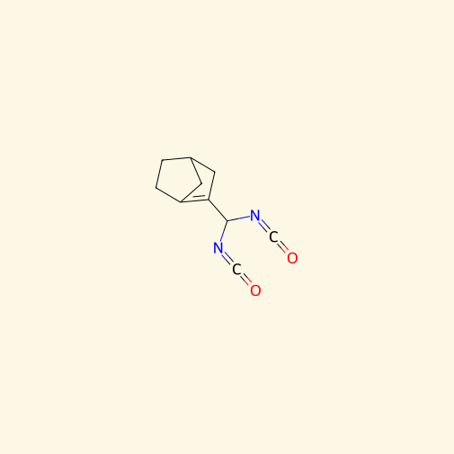 O=C=NC(N=C=O)C1=C2CCC(C2)C1